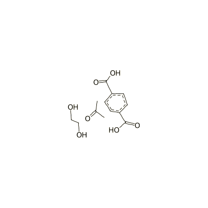 CC(C)=O.O=C(O)c1ccc(C(=O)O)cc1.OCCO